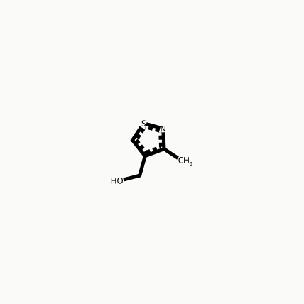 Cc1nscc1CO